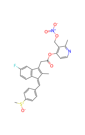 CC1=C(CC(=O)Oc2ccnc(C)c2CO[N+](=O)[O-])c2cc(F)ccc2/C1=C\c1ccc([S+](C)[O-])cc1